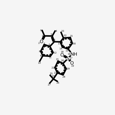 CC(=O)/C(C)=C(\c1ccc(C)cc1)c1cc(NS(=O)(=O)c2ccc(C(C)(C)C)cc2)ccc1C